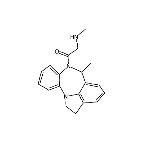 CNCC(=O)N1c2ccccc2N2CCc3cccc(c32)C1C